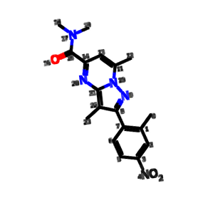 Cc1cc([N+](=O)[O-])ccc1-c1nn2c(C)cc(C(=O)N(C)C)nc2c1C